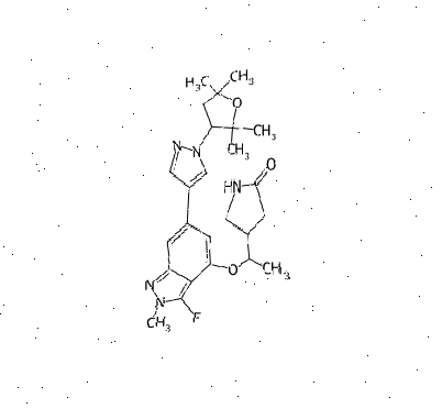 CC(Oc1cc(-c2cnn(C3CC(C)(C)OC3(C)C)c2)cc2nn(C)c(F)c12)C1CNC(=O)C1